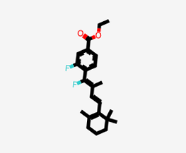 CCOC(=O)c1ccc(/C(F)=C(C)/C=C/C2=C(C)CCCC2(C)C)c(F)c1